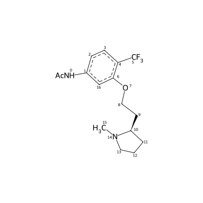 CC(=O)Nc1ccc(C(F)(F)F)c(OCC[C@H]2CCCN2C)c1